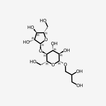 OCC(O)CO[C@@H]1O[C@H](CO)[C@@H](O[C@@H]2O[C@@H](CO)[C@H](O)[C@H]2O)[C@H](O)[C@H]1O